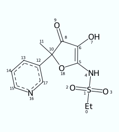 CCS(=O)(=O)NC1=C(O)C(=O)C(C)(c2cccnc2)O1